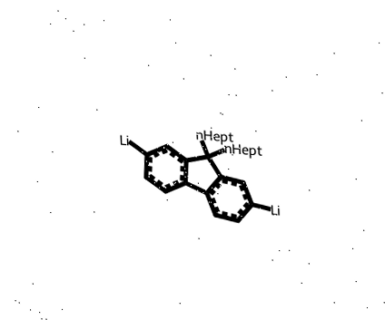 [Li][c]1ccc2c(c1)C(CCCCCCC)(CCCCCCC)c1c[c]([Li])ccc1-2